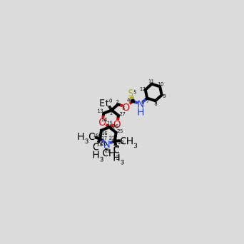 CCC1(COC(=S)NC2CCCCC2)COC2(CC(C)(C)N(C)C(C)(C)C2)OC1